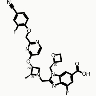 C[C@H]1[C@@H](Oc2ccnc(COc3ccc(C#N)cc3F)n2)CN1Cc1nc2c(F)cc(C(=O)O)cc2n1C[C@@H]1CCO1